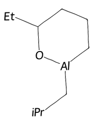 CCC1CC[CH2][Al]([CH2]C(C)C)[O]1